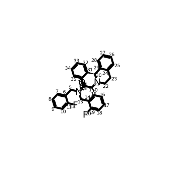 C[C@@H](C(=O)N(Cc1ccccc1F)Cc1ccccc1F)N1CCc2ccccc2[C@@H]1c1ccccc1Cl